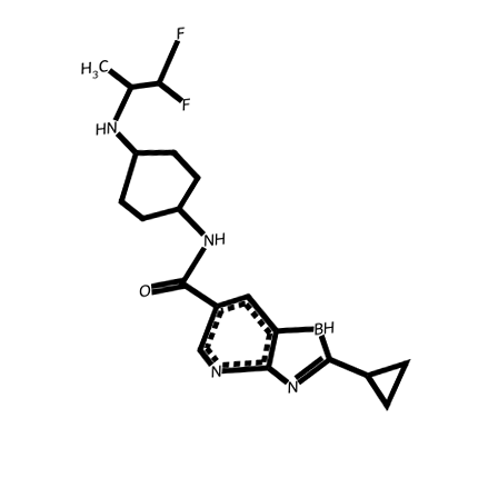 CC(NC1CCC(NC(=O)c2cnc3c(c2)BC(C2CC2)=N3)CC1)C(F)F